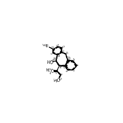 C=C(CO)[C@@H]1c2ccccc2Cc2ccc(F)cc2[C@@H]1O